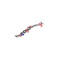 C=C(C)C(=O)OCCCCCCCCCOc1ccc(C(=O)Oc2ccc(-c3ccc(OCCCCC)cn3)cc2)cc1